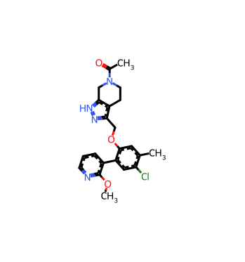 COc1ncccc1-c1cc(Cl)c(C)cc1OCc1n[nH]c2c1CCN(C(C)=O)C2